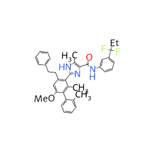 CCC(F)(F)c1cccc(NC(=O)c2nc(-c3c(CCc4ccccc4)cc(OC)c(-c4ccccc4C)c3C)[nH]c2C)c1